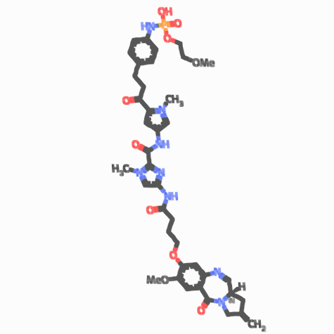 C=C1C[C@H]2C=Nc3cc(OCCCC(=O)Nc4cn(C)c(C(=O)Nc5cc(C(=O)CCc6ccc(NP(=O)(O)OCCOC)cc6)n(C)c5)n4)c(OC)cc3C(=O)N2C1